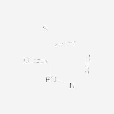 O=c1[nH]ncccc1=S